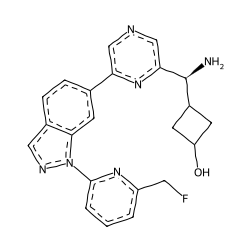 N[C@H](c1cncc(-c2ccc3cnn(-c4cccc(CF)n4)c3c2)n1)C1CC(O)C1